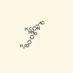 COc1ccc(-c2ccc(C(=O)Nc3cc4ncc(CN5CCCC5)cc4cc3C)cc2)cc1